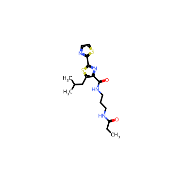 CCC(=O)NCCCNC(=O)c1nc(-c2nccs2)sc1CC(C)C